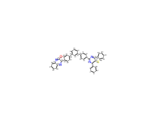 c1ccc(-c2nc(-c3ccc(-c4cccc(-c5ccc6c(c5)oc5nc7ccccc7nc56)c4)cc3)nc3c2sc2ccccc23)cc1